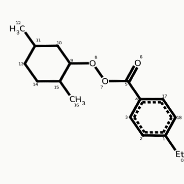 CCc1ccc(C(=O)OO[C]2CC(C)CCC2C)cc1